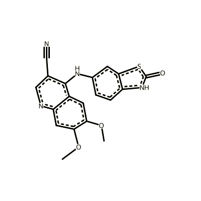 COc1cc2ncc(C#N)c(Nc3ccc4[nH]c(=O)sc4c3)c2cc1OC